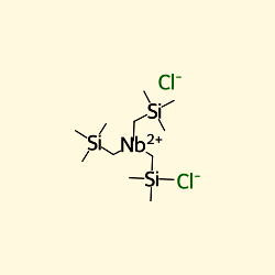 C[Si](C)(C)[CH2][Nb+2]([CH2][Si](C)(C)C)[CH2][Si](C)(C)C.[Cl-].[Cl-]